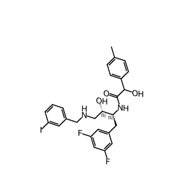 Cc1ccc(C(O)C(=O)N[C@@H](Cc2cc(F)cc(F)c2)[C@@H](O)CNCc2cccc(I)c2)cc1